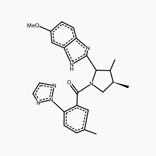 COc1ccc2nc(C3C(C)[C@@H](C)CN3C(=O)c3cc(C)ccc3-n3nccn3)[nH]c2c1